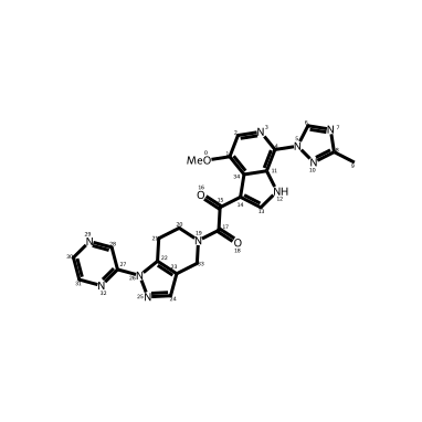 COc1cnc(-n2cnc(C)n2)c2[nH]cc(C(=O)C(=O)N3CCc4c(cnn4-c4cnccn4)C3)c12